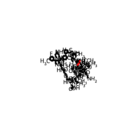 CC[C@H](C)[C@@H]([C@@H](CC(=O)N1CCC[C@H]1C[C@@H](C)C(=O)N[C@H](C)[C@@H](O)c1ccccc1)OC)N(C)C(=O)[C@@H](NC(=O)[C@H](C(C)C)N(C)C(=O)OCc1ccc(NC(=O)[C@H](CCCNC(N)=O)NC(=O)[C@@H](NC(=O)[C@H](CCC(=O)O)NC(=O)CCOCCC(=O)NCCNc2ncc(-c3cc(C)cc(F)c3)c(N3CCC(N)CC3)c2-c2nc3ccc(Cl)cc3[nH]2)C(C)C)cc1C(=O)NCCN)C(C)C